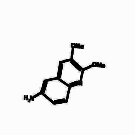 COc1cc2cc(N)ccc2nc1OC